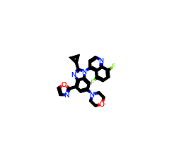 Fc1ccc(F)c2c(-n3c(C4CC4)nc4c(-c5ncco5)cc(N5CCOCC5)cc43)ccnc12